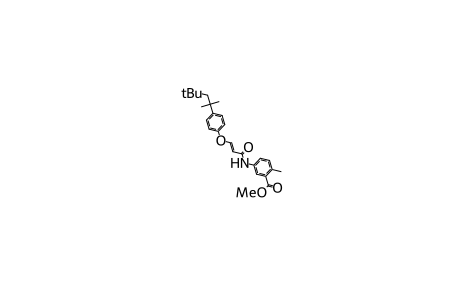 COC(=O)c1cc(NC(=O)C=COc2ccc(C(C)(C)CC(C)(C)C)cc2)ccc1C